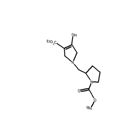 CCOC(=O)C1=C(O)CN(CC2CCCN2C(=O)OC(C)(C)C)C1